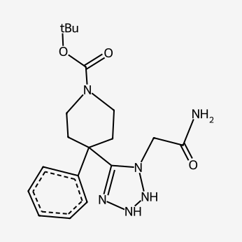 CC(C)(C)OC(=O)N1CCC(C2=NNNN2CC(N)=O)(c2ccccc2)CC1